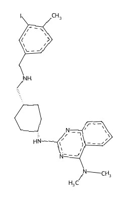 Cc1ccc(CNC[C@H]2CC[C@@H](Nc3nc(N(C)C)c4ccccc4n3)CC2)cc1I